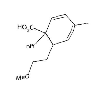 CCCC1(C(=O)O)C=CC(C)=CC1CCOC